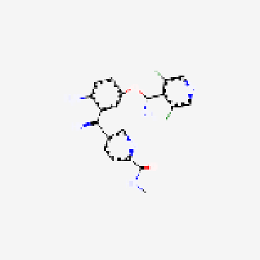 CNC(=O)c1ccc(C(=N)c2cc(O[C@H](N)c3c(Cl)cncc3Cl)ccc2N)cn1